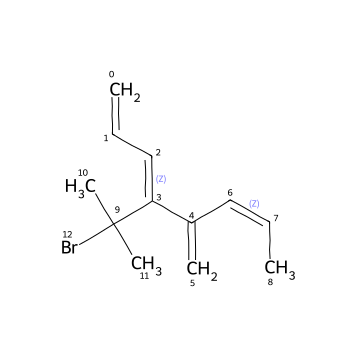 C=C/C=C(/C(=C)/C=C\C)C(C)(C)Br